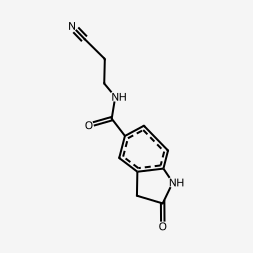 N#CCCNC(=O)c1ccc2c(c1)CC(=O)N2